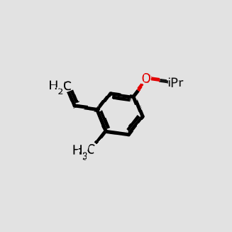 C=Cc1cc(OC(C)C)ccc1C